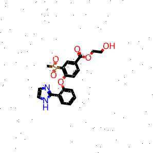 CS(=O)(=O)c1cc(C(=O)OCCO)ccc1Oc1ccccc1-c1ncc[nH]1